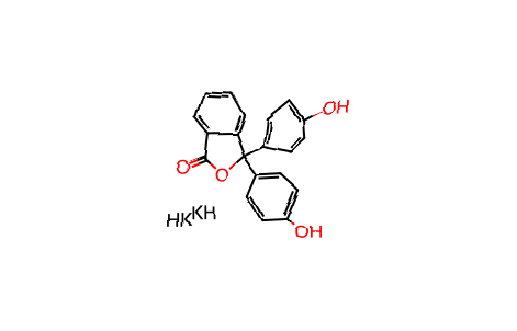 O=C1OC(c2ccc(O)cc2)(c2ccc(O)cc2)c2ccccc21.[KH].[KH]